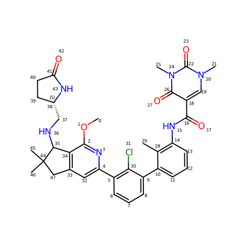 COc1nc(-c2cccc(-c3cccc(NC(=O)c4cn(C)c(=O)n(C)c4=O)c3C)c2Cl)cc2c1C(NC[C@@H]1CCC(=O)N1)C(C)(C)C2